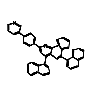 c1cncc(-c2ccc(-c3cc(-c4cccc5ccccc45)c4cc(-c5cccc6ccccc56)c5ccccc5c4n3)cc2)c1